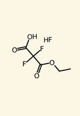 CCOC(=O)C(F)(F)C(=O)O.F